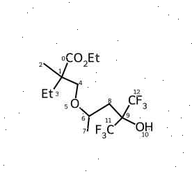 CCOC(=O)C(C)(CC)COC(C)CC(O)(C(F)(F)F)C(F)(F)F